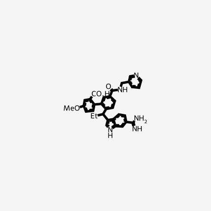 CCC(c1ccc(C(=O)NCc2cccnc2)cc1-c1ccc(OC)cc1C(=O)O)c1c[nH]c2cc(C(=N)N)ccc12